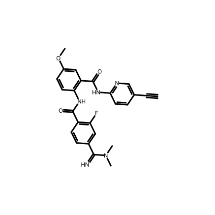 C#Cc1ccc(NC(=O)c2cc(OC)ccc2NC(=O)c2ccc(C(=N)N(C)C)cc2F)nc1